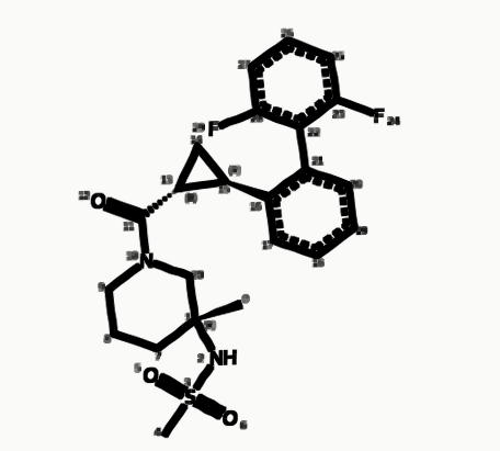 C[C@@]1(NS(C)(=O)=O)CCCN(C(=O)[C@@H]2C[C@H]2c2ccccc2-c2c(F)cccc2F)C1